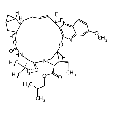 CC[C@@H]1[C@@H]2CN(C(=O)[C@H](C(C)(C)C)NC(=O)O[C@@H]3CC4C[C@@H]4[C@H]3CC/C=C/C(F)(F)c3nc4ccc(OC)cc4nc3O2)[C@@H]1C(=O)OCC(C)C